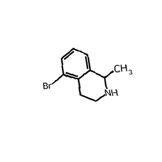 CC1NCCc2c(Br)cccc21